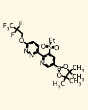 CCS(=O)(=O)c1cc(B2OC(C)(C)C(C)(C)O2)cnc1-c1ccc(OCC(F)(F)C(F)(F)F)nn1